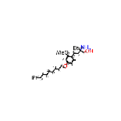 CCC(N)(CO)CCc1ccc(OCCCCCCCCC(C)C)cc1OC